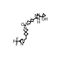 O=C(N1CC2(CC(Cn3cnc(C(F)(F)F)c3)C2)C1)N1CC2(CC(c3nnc(C4(O)CC4)[nH]3)C2)C1